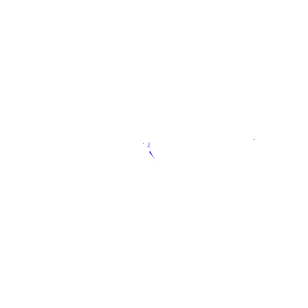 CC(C)(C)OC(=O)N[C@@H]1CCc2ccc(Br)cc21